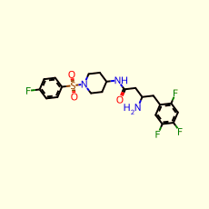 NC(CC(=O)NC1CCN(S(=O)(=O)c2ccc(F)cc2)CC1)Cc1cc(F)c(F)cc1F